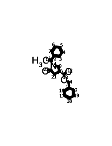 C[C@H](c1ccccc1)N1C[C@H](C(=O)OCc2ccccc2)CC1=O